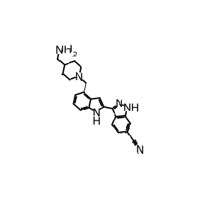 N#Cc1ccc2c(-c3cc4c(CN5CCC(CN)CC5)cccc4[nH]3)n[nH]c2c1